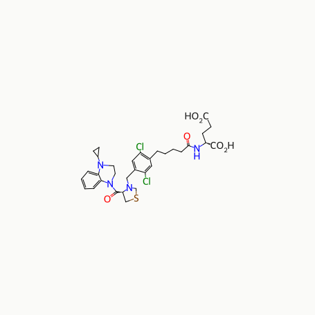 O=C(O)CC[C@H](NC(=O)CCCCc1cc(Cl)c(CN2CSC[C@H]2C(=O)N2CCN(C3CC3)c3ccccc32)cc1Cl)C(=O)O